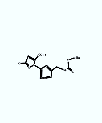 CCCCOC(=O)NCc1cccc(-n2nc(C(F)(F)F)cc2C(=O)O)c1